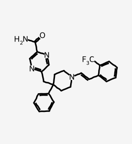 NC(=O)c1cnc(CC2(c3ccccc3)CCN(C=Cc3ccccc3C(F)(F)F)CC2)cn1